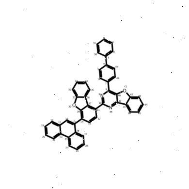 c1ccc(-c2ccc(-c3nc(-c4ccc(-c5cc6ccccc6c6ccccc56)c5oc6ccccc6c45)nc4c3oc3ccccc34)cc2)cc1